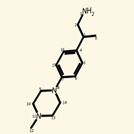 CC(CN)c1ccc(N2CCN(C)CC2)cc1